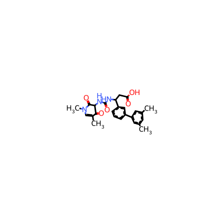 CC1=CN(C)C(=O)C(NC(=O)NC(CC(=O)O)c2cccc(-c3cc(C)cc(C)c3)c2)C1=O